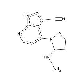 N#Cc1c[nH]c2nccc(N3CCC[C@@H]3NN)c12